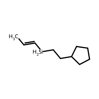 CC=C[SiH2]CCC1CCCC1